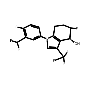 O[C@H]1c2c(C(F)(F)F)cn(-c3ccc(F)c(C(F)F)c3)c2CCC1F